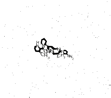 Cc1cn2nc([C@@H]3CCCCN3C(=O)C3NCCCC3C)cc2nc1N1CC[C@H](N)C1